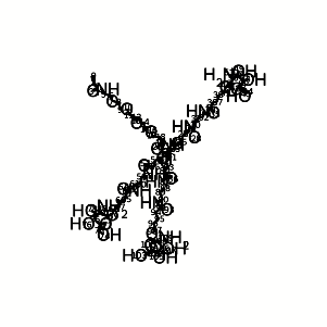 C#CC(=O)NCCOCCOCCOCCOCCC(=O)NC(COCCC(=O)NCCCNC(=O)CCCCOC1OC(CO)C(O)C(O)C1N)(COCCC(=O)NCCCNC(=O)CCCCOC1OC(CO)C(O)C(O)C1N)COCCC(=O)NCCCNC(=O)CCCCOC1OC(CO)C(O)C(O)C1N